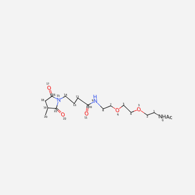 CC(=O)NCCOCCOCCNC(=O)CCCN1C(=O)CC(C)C1=O